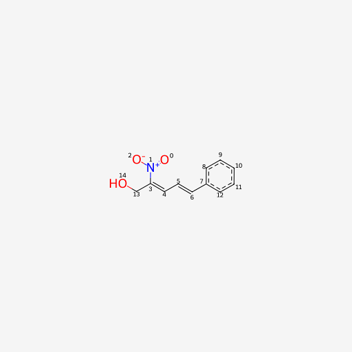 O=[N+]([O-])/C(=C\C=C\c1ccccc1)CO